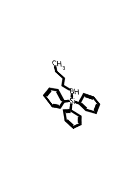 CCCCB[Si](c1ccccc1)(c1ccccc1)c1ccccc1